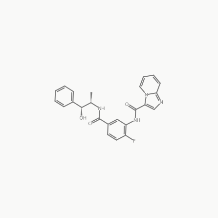 C[C@@H](NC(=O)c1ccc(F)c(NC(=O)c2cnc3ccccn23)c1)[C@@H](O)c1ccccc1